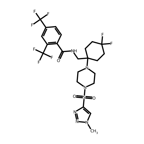 Cn1cc(S(=O)(=O)N2CCN(C3(CNC(=O)c4ccc(C(F)(F)F)cc4C(F)(F)F)CCC(F)(F)CC3)CC2)nn1